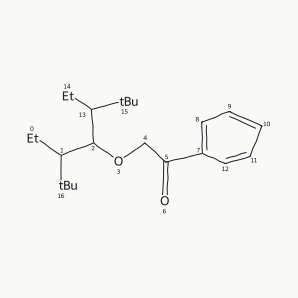 CCC(C(OCC(=O)c1ccccc1)C(CC)C(C)(C)C)C(C)(C)C